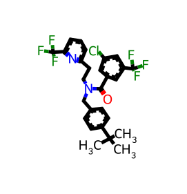 CC(C)(C)c1ccc(CN(CCc2cccc(C(F)(F)F)n2)C(=O)c2cc(Cl)cc(C(F)(F)F)c2)cc1